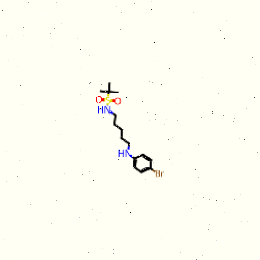 CC(C)(C)S(=O)(=O)NCCCCCNc1ccc(Br)cc1